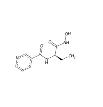 CC[C@@H](NC(=O)c1cccnc1)C(=O)NO